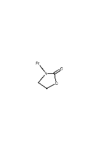 CCN1C[CH]OC1=O